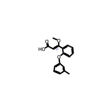 CO/C(=C\C(=O)O)c1ccccc1Oc1cccc(C)c1